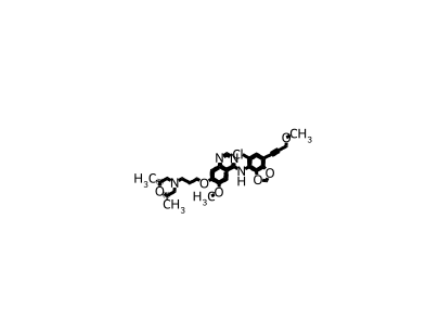 COCC#Cc1cc(Cl)c(Nc2ncnc3cc(OCCCN4C[C@@H](C)O[C@@H](C)C4)c(OC)cc23)c2c1OCO2